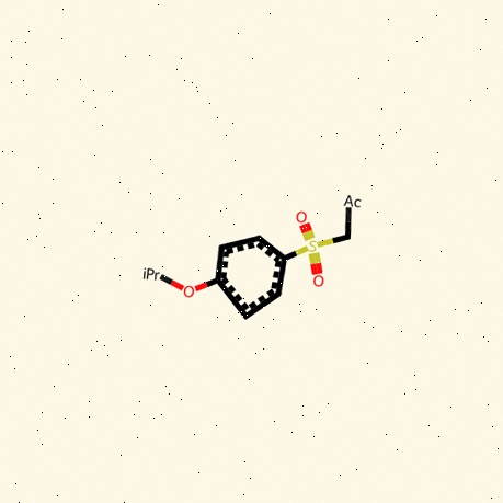 CC(=O)CS(=O)(=O)c1ccc(OC(C)C)cc1